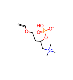 C=COCCC(C[N+](C)(C)C)OP(=O)([O-])O